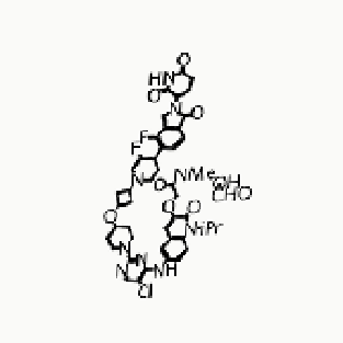 CNC(=O)COc1cc2cc(Nc3nc(N4CCC(OC5CC(N6CCC(c7ccc8c(c7F)CN(C7CCC(=O)NC7=O)C8=O)C(F)C6)C5)CC4)ncc3Cl)ccc2n(C(C)C)c1=O.O=CO